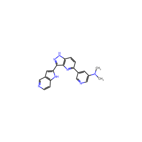 CN(C)c1cncc(-c2ccc3[nH]nc(-c4cc5cnccc5[nH]4)c3n2)c1